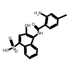 Cc1ccc(C(=O)Nc2c(O)cc(S(=O)(=O)O)c3ccccc23)c(N)c1